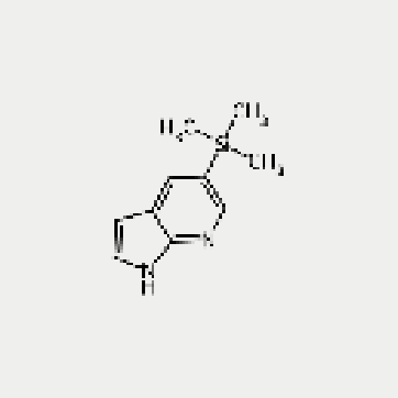 C[Si](C)(C)c1cnc2[nH]ccc2c1